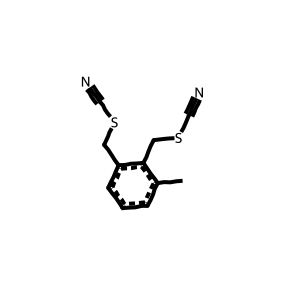 Cc1cccc(CSC#N)c1CSC#N